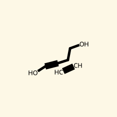 C#C.OC#CCCO